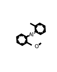 C[O-].Cc1cccc[c]1[Al+][c]1ccccc1C